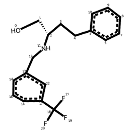 OC[C@H](CCc1ccccc1)NCc1cccc(C(F)(F)F)c1